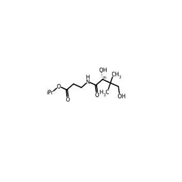 CC(C)OC(=O)CCNC(=O)[C@H](O)C(C)(C)CO